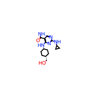 NC(=O)c1cnc(NC2CC2)nc1N[C@H]1CC[C@@H](CO)CC1